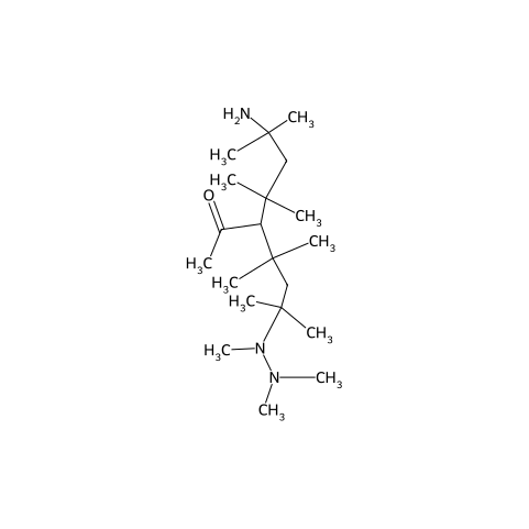 CC(=O)C(C(C)(C)CC(C)(C)N)C(C)(C)CC(C)(C)N(C)N(C)C